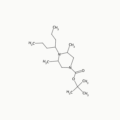 CCCC(CCC)N1C(C)CN(C(=O)OC(C)(C)C)CC1C